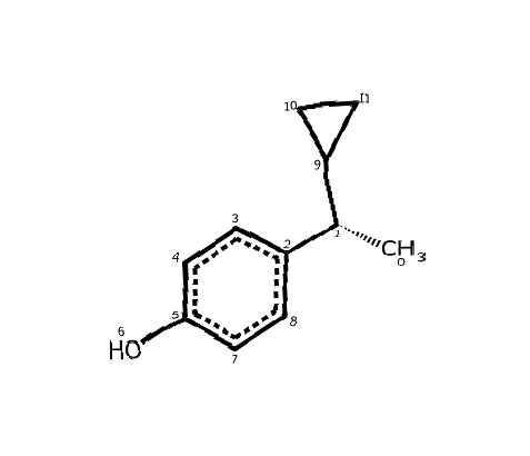 C[C@H](c1ccc(O)cc1)C1CC1